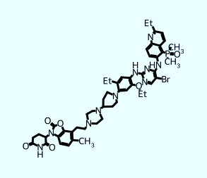 CCOc1cc(N2CCC(N3CCN(CCc4c(C)ccc5c4oc(=O)n5C4CCC(=O)NC4=O)CC3)CC2)c(CC)cc1Nc1ncc(Br)c(Nc2ccc3nc(CC)ccc3c2P(C)(C)=O)n1